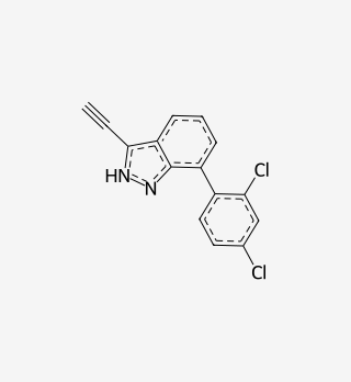 C#Cc1[nH]nc2c(-c3ccc(Cl)cc3Cl)cccc12